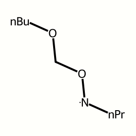 CCCCOCO[N]CCC